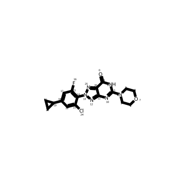 O=c1[nH]c(N2CCOCC2)nc2nn(-c3c(F)cc(C4CC4)cc3Cl)nc12